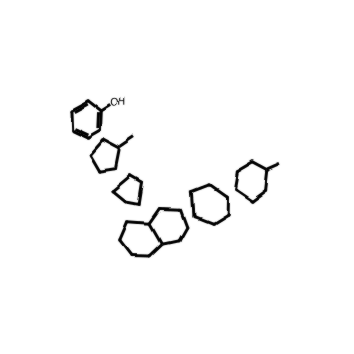 C1CCC2CCCCC2C1.C1CCCC1.C1CCCCC1.CC1CCCC1.CC1CCCCC1.Oc1ccccc1